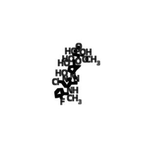 COC[C@](CO)(OCC12CC1[C@@H](n1ncc3c(N[C@@H](C)c4ccccc4F)cc(Cl)nc31)[C@H](O)[C@@H]2O)P(=O)(O)O